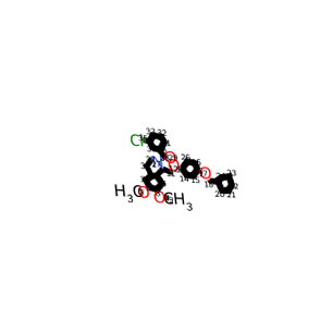 COc1cc2c(cc1OC)C(COc1ccc(OCc3ccccc3)cc1)N(C(=O)c1cccc(Cl)c1)CC2